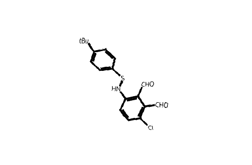 CC(C)(C)c1ccc(SNc2ccc(Cl)c(C=O)c2C=O)cc1